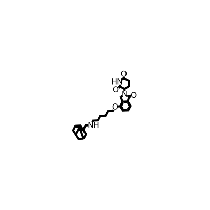 O=C1CCC(N2Cc3c(OCCCCCCNCC45CC6CC(CC(C6)C4)C5)cccc3C2=O)C(=O)N1